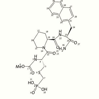 COC(=O)N[C@@H](CSCP(=O)(O)O)C(=O)N1CCCC[C@H]1C(=O)N[C@@H](Cc1ccc2ccccc2c1)C(N)=O